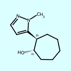 Cn1nccc1[C@H]1CCCCC[C@@H]1O